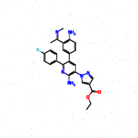 CCOC(=O)c1cnn(-c2cc(-c3ccc(N)c(/C(C)=N\C)c3)c(-c3ccc(F)cc3)nc2N)c1